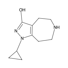 Oc1nn(C2CC2)c2c1CCNCC2